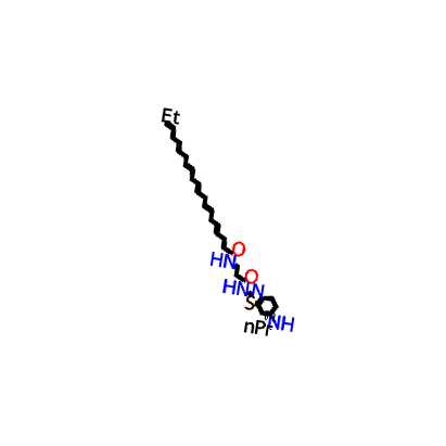 CCC=CCC=CCC=CCC=CCC=CCC=CCCC(=O)NCCC(=O)Nc1nc2c(s1)C[C@H](NCCC)CC2